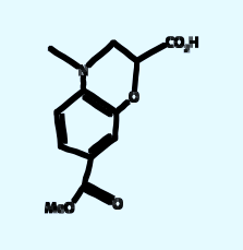 COC(=O)c1ccc2c(c1)OC(C(=O)O)CN2C